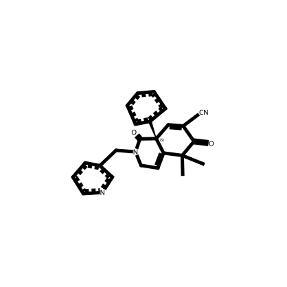 CC1(C)C(=O)C(C#N)=C[C@@]2(c3ccccc3)C(=O)N(Cc3cccnc3)CC=C12